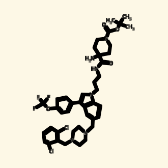 CC(C)(C)OC(=O)N1CCC(N)(C(=O)NCCCn2cc(-c3ccc(OC(F)(F)F)cc3)c3cc(CN4CCN(Cc5c(Cl)cccc5Cl)CC4)ccc32)CC1